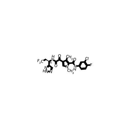 Cc1c(C(=O)C(=O)N[C@H](CC(F)(F)F)c2cn[nH]n2)cn(C)c1C(=O)Nc1ccc(F)c(Cl)c1